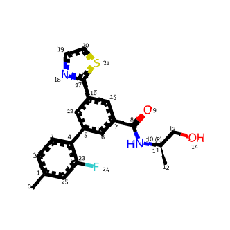 Cc1ccc(-c2cc(C(=O)N[C@H](C)CO)cc(-c3nccs3)c2)c(F)c1